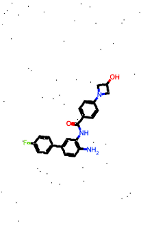 Nc1ccc(-c2ccc(F)cc2)cc1NC(=O)c1ccc(N2CC(O)C2)cc1